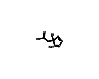 O=C(O)CC1(S)N=NN=N1.[NaH]